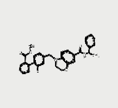 CC(NC(=O)c1ccc2c(c1)OCCN2Cc1ccc(-c2ccccc2C(=O)OC(C)(C)C)c(F)c1)c1ccccc1